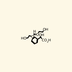 O=C(O)C(O)c1ccccc1.OCCONOCCO